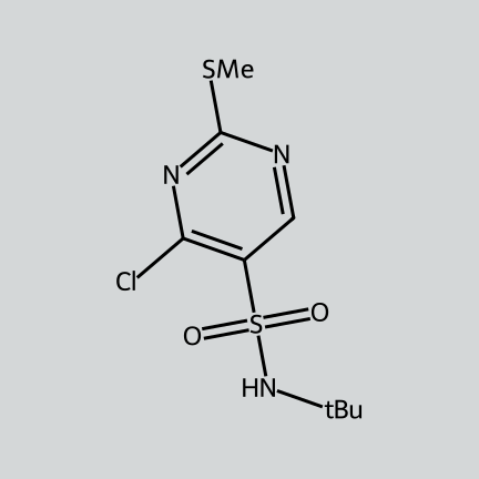 CSc1ncc(S(=O)(=O)NC(C)(C)C)c(Cl)n1